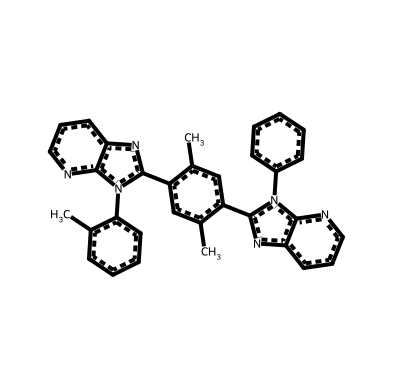 Cc1cc(-c2nc3cccnc3n2-c2ccccc2C)c(C)cc1-c1nc2cccnc2n1-c1ccccc1